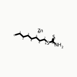 CCCCCCCCSC(N)=S.[Zn]